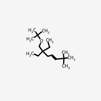 CCC(CC)(C/C=C/C(C)(C)C)COC(C)(C)C